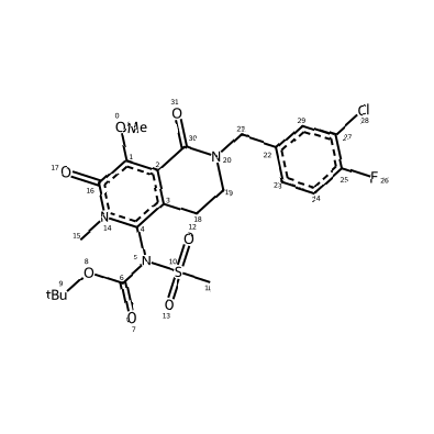 COc1c2c(c(N(C(=O)OC(C)(C)C)S(C)(=O)=O)n(C)c1=O)CCN(Cc1ccc(F)c(Cl)c1)C2=O